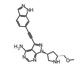 COC[C@H]1C[C@H](n2nc(C#Cc3ccc4cn[nH]c4c3)c3c(N)ncnc32)CN1